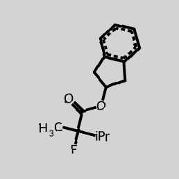 CC(C)C(C)(F)C(=O)OC1Cc2ccccc2C1